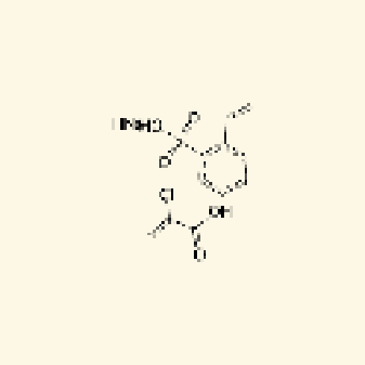 C=C(Cl)C(=O)O.C=Cc1ccccc1S(=O)(=O)O.[NaH]